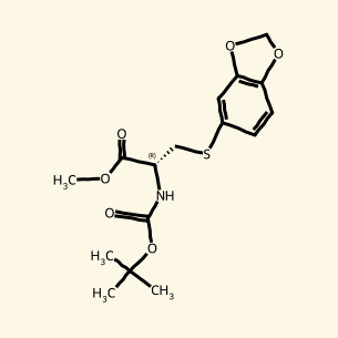 COC(=O)[C@H](CSc1ccc2c(c1)OCO2)NC(=O)OC(C)(C)C